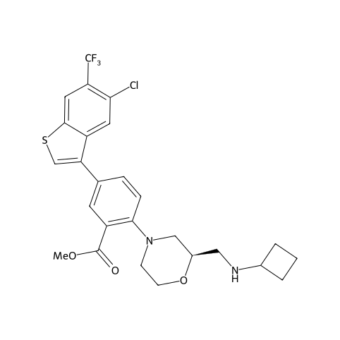 COC(=O)c1cc(-c2csc3cc(C(F)(F)F)c(Cl)cc23)ccc1N1CCO[C@H](CNC2CCC2)C1